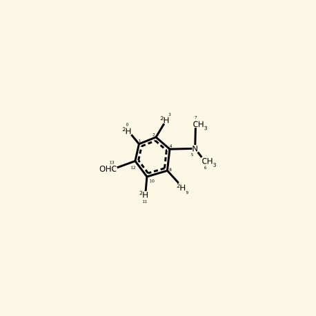 [2H]c1c([2H])c(N(C)C)c([2H])c([2H])c1C=O